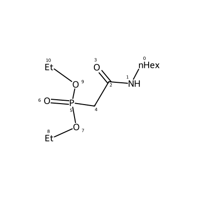 CCCCCCNC(=O)CP(=O)(OCC)OCC